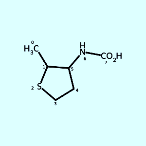 CC1SCCC1NC(=O)O